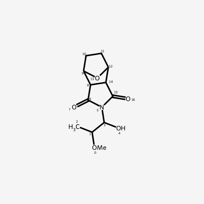 COC(C)C(O)N1C(=O)C2C3CCC(O3)C2C1=O